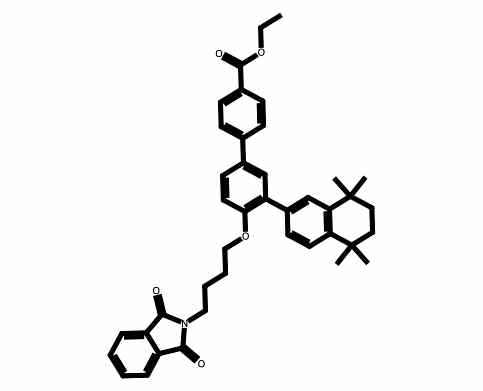 CCOC(=O)c1ccc(-c2ccc(OCCCCN3C(=O)c4ccccc4C3=O)c(-c3ccc4c(c3)C(C)(C)CCC4(C)C)c2)cc1